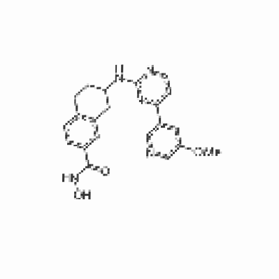 COc1cncc(-c2ccnc(NC3CCc4ccc(C(=O)NO)cc4C3)n2)c1